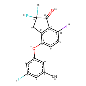 N#Cc1cc(F)cc(Oc2ccc(I)c3c2CC(F)(F)C3=O)c1